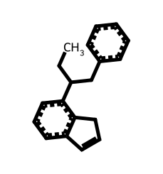 CCC(Cc1ccccc1)c1cccc2c1CC=C2